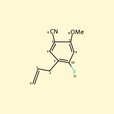 C=CCc1cc(C#N)c(OC)cc1F